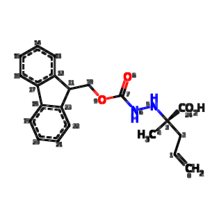 C=CC[C@](C)(NNC(=O)OCC1c2ccccc2-c2ccccc21)C(=O)O